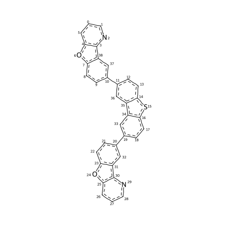 c1cnc2c(c1)oc1ccc(-c3ccc4sc5ccc(-c6ccc7oc8cccnc8c7c6)cc5c4c3)cc12